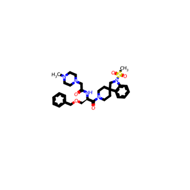 CN1CCN(CC(=O)N[C@H](COCc2ccccc2)C(=O)N2CCC3(CC2)CN(S(C)(=O)=O)c2ccccc23)CC1